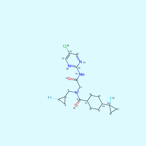 O=C(CN(CC1C[C@@H]1F)C(=O)C1CCC(C2(F)CC2)CC1)Nc1ncc(Cl)cn1